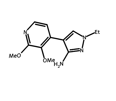 CCn1cc(-c2ccnc(OC)c2OC)c(N)n1